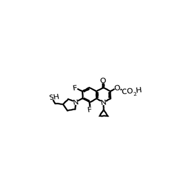 O=C(O)Oc1cn(C2CC2)c2c(F)c(N3CCC(CS)C3)c(F)cc2c1=O